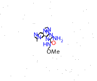 COCCNC(=O)c1nc(-c2ccc3ncc(C)n3c2)c(-n2nccn2)nc1N